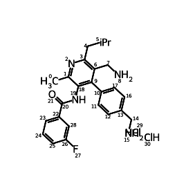 Cc1nc(CC(C)C)c(CN)c(-c2ccc(CN)cc2)c1NC(=O)c1cccc(F)c1.Cl.Cl